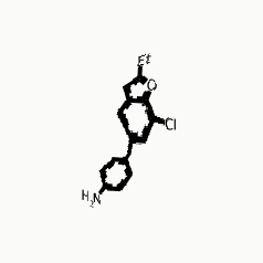 CCc1cc2cc(-c3ccc(N)cc3)cc(Cl)c2o1